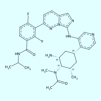 CC(=O)N(C)[C@@H]1[C@H](N)C[C@H](c2ccncc2Nc2ncc3ccc(-c4c(F)ccc(C(=O)NC(C)C)c4F)nn23)C[C@@H]1C